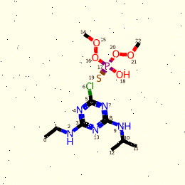 CCNc1nc(Cl)nc(NC(C)C)n1.COOP(O)(=S)OOC